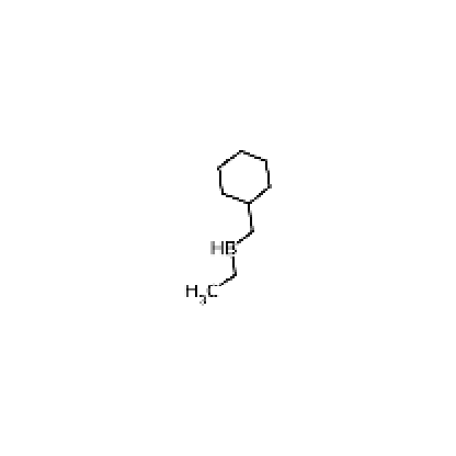 CCBCC1CCCCC1